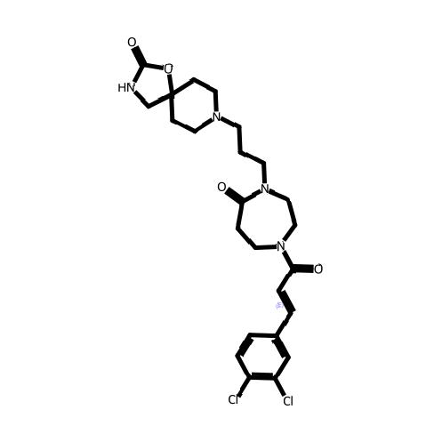 O=C1NCC2(CCN(CCCN3CCN(C(=O)/C=C/c4ccc(Cl)c(Cl)c4)CCC3=O)CC2)O1